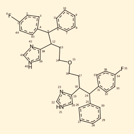 Fc1ccc(C(c2ccccc2)C(CCOCCC(c2c[nH]cn2)C(c2ccccc2)c2ccc(F)cc2)c2c[nH]cn2)cc1